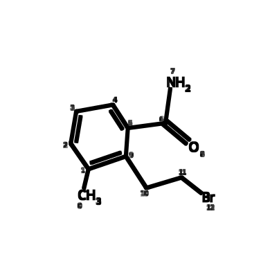 Cc1cccc(C(N)=O)c1CCBr